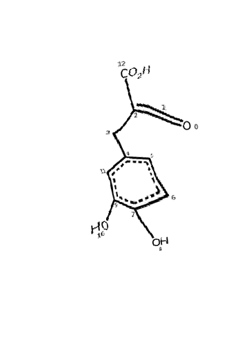 O=C=C(Cc1ccc(O)c(O)c1)C(=O)O